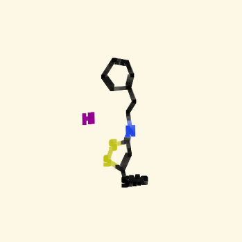 CSc1c/c(=N/CCc2ccccc2)ss1.I